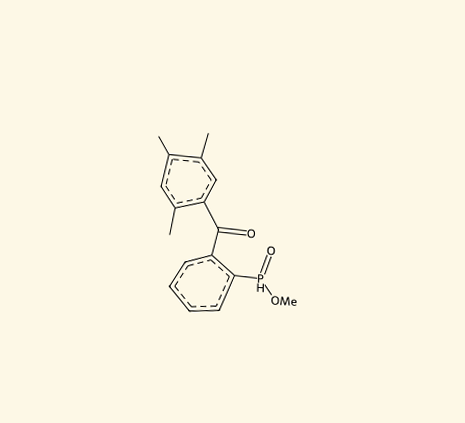 CO[PH](=O)c1ccccc1C(=O)c1cc(C)c(C)cc1C